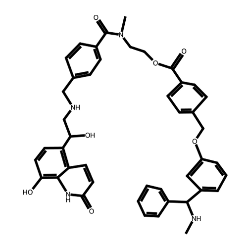 CNC(c1ccccc1)c1cccc(OCc2ccc(C(=O)OCCN(C)C(=O)c3ccc(CNCC(O)c4ccc(O)c5[nH]c(=O)ccc45)cc3)cc2)c1